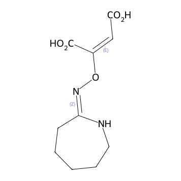 O=C(O)/C=C(/O/N=C1/CCCCCN1)C(=O)O